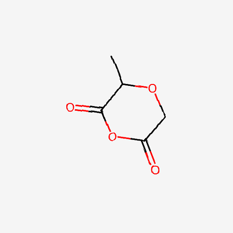 CC1OCC(=O)OC1=O